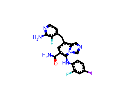 NC(=O)c1cc(Cc2ccnc(N)c2F)c2cncn2c1Nc1ccc(I)cc1F